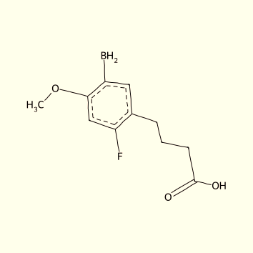 Bc1cc(CCCC(=O)O)c(F)cc1OC